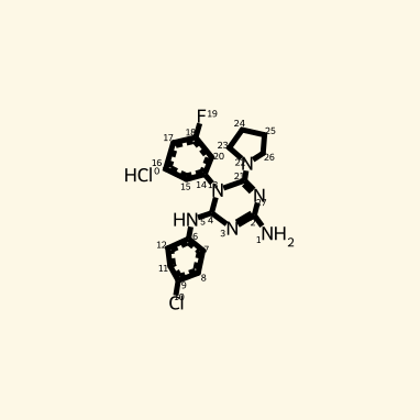 Cl.NC1=NC(Nc2ccc(Cl)cc2)N(c2cccc(F)c2)C(N2CCCC2)=N1